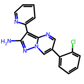 Nc1nn2cc(-c3ccccc3Cl)cnc2c1-c1ccccn1